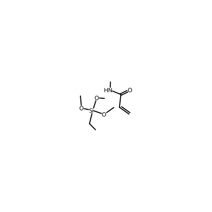 C=CC(=O)NC.CC[Si](OC)(OC)OC